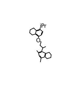 Cc1cc(C)c(C(C)CCOc2ccc(C(C)C)c3c2CCCC3)c2c1CCCC2